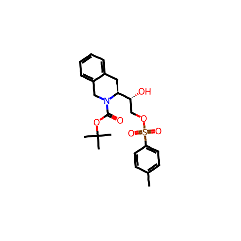 Cc1ccc(S(=O)(=O)OC[C@@H](O)[C@@H]2Cc3ccccc3CN2C(=O)OC(C)(C)C)cc1